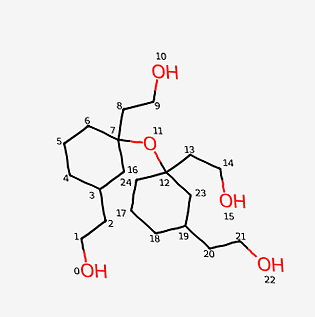 OCCC1CCCC(CCO)(OC2(CCO)CCCC(CCO)C2)C1